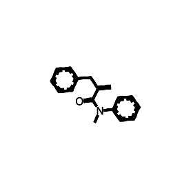 C=C(Cc1ccccc1)C(=O)N(C)c1ccccc1